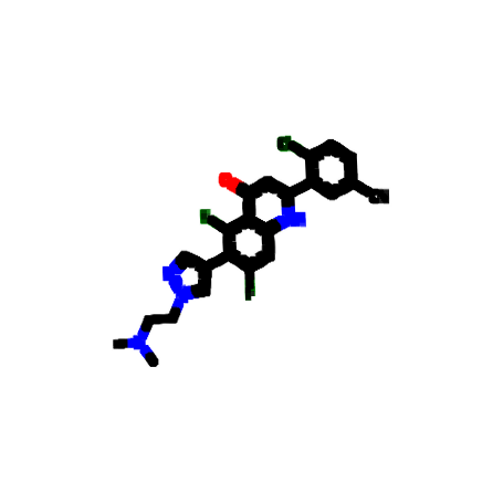 CN(C)CCn1cc(-c2c(F)cc3[nH]c(-c4cc(C#N)ccc4Cl)cc(=O)c3c2F)cn1